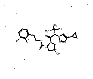 CC(C)(C)[C@@H](C(=O)N1C[C@H](O)C[C@H]1C(=O)NCCc1cccc(F)c1F)n1cc(C2CC2)nn1